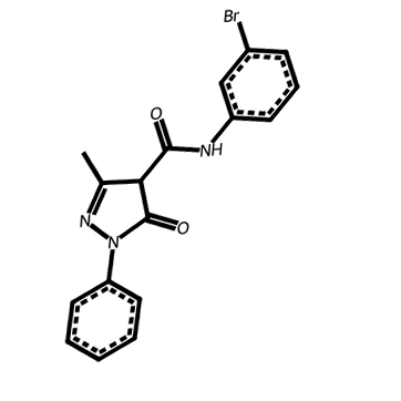 CC1=NN(c2ccccc2)C(=O)C1C(=O)Nc1cccc(Br)c1